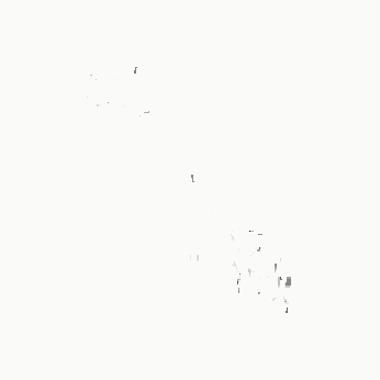 Cn1c(=O)n(C2CCC(=O)NC2=O)c2cccc(CCCCCCCCCCCNC(=O)OC(C)(C)C)c21